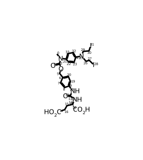 CN(C(=O)OCc1ccc(NC(=O)N[C@@H](CCC(=O)O)C(=O)O)cc1)c1ccc(N(CCI)CCI)cc1